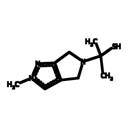 Cn1cc2c(n1)CN(C(C)(C)S)C2